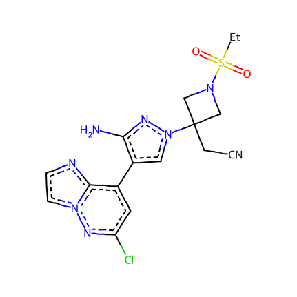 CCS(=O)(=O)N1CC(CC#N)(n2cc(-c3cc(Cl)nn4ccnc34)c(N)n2)C1